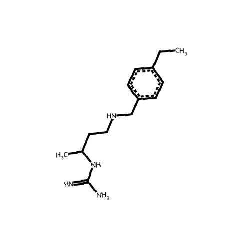 CCc1ccc(CNCCC(C)NC(=N)N)cc1